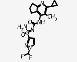 Cc1c(C2CC2)nc2c(c1NC(=O)N=[S@@](N)(=O)c1ccn(C(F)F)n1)CCC2